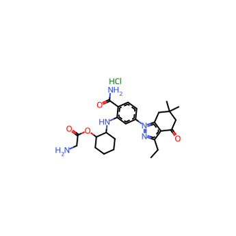 CCc1nn(-c2ccc(C(N)=O)c(NC3CCCCC3OC(=O)CN)c2)c2c1C(=O)CC(C)(C)C2.Cl